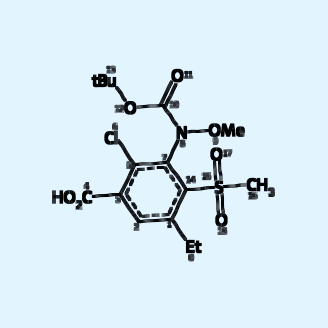 CCc1cc(C(=O)O)c(Cl)c(N(OC)C(=O)OC(C)(C)C)c1S(C)(=O)=O